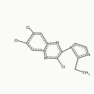 CCc1nccn1-c1nc2cc(Cl)c(Cl)cc2nc1Cl